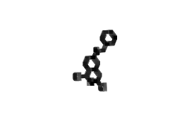 Clc1cc2cc(SCc3ccccc3)ccc2c(Cl)n1